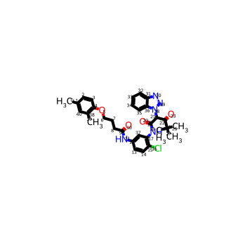 Cc1ccc(OCCCC(=O)Nc2ccc(Cl)c(NC(=O)C(C(=O)C(C)(C)C)n3nnc4ccccc43)c2)c(C)c1